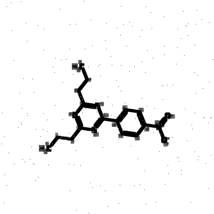 CCCc1nc(CCC)nc(-c2ccc([N+](=O)[O-])cc2)n1